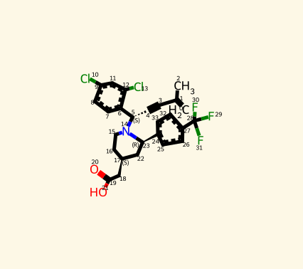 C=C(C)C#C[C@@H](c1ccc(Cl)cc1Cl)N1CC[C@H](CC(=O)O)C[C@@H]1c1ccc(C(F)(F)F)cc1